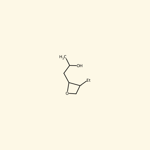 CC[C]1COC1CC(C)O